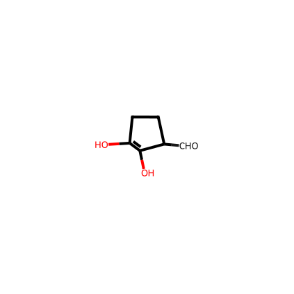 O=CC1CCC(O)=C1O